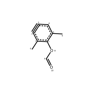 Cc1c#ccc(C)c1OC=O